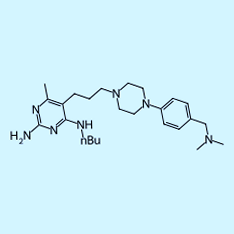 CCCCNc1nc(N)nc(C)c1CCCN1CCN(c2ccc(CN(C)C)cc2)CC1